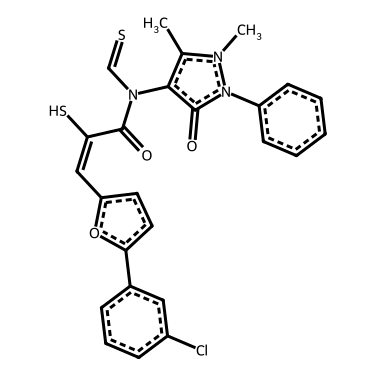 Cc1c(N(C=S)C(=O)/C(S)=C\c2ccc(-c3cccc(Cl)c3)o2)c(=O)n(-c2ccccc2)n1C